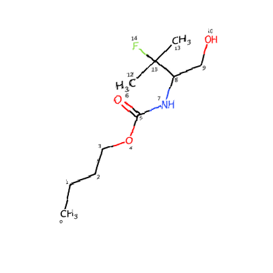 CCCCOC(=O)NC(CO)C(C)(C)F